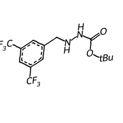 CC(C)(C)OC(=O)NNCc1cc(C(F)(F)F)cc(C(F)(F)F)c1